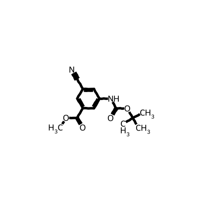 COC(=O)c1cc(C#N)cc(NC(=O)OC(C)(C)C)c1